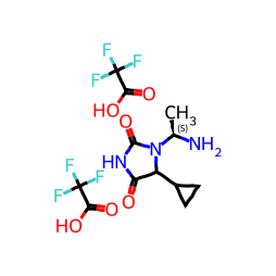 C[C@@H](N)N1C(=O)NC(=O)C1C1CC1.O=C(O)C(F)(F)F.O=C(O)C(F)(F)F